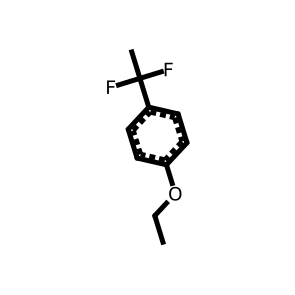 CCOc1ccc(C(C)(F)F)cc1